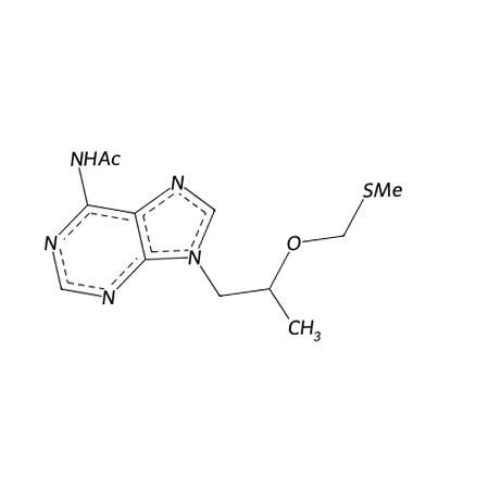 CSCOC(C)Cn1cnc2c(NC(C)=O)ncnc21